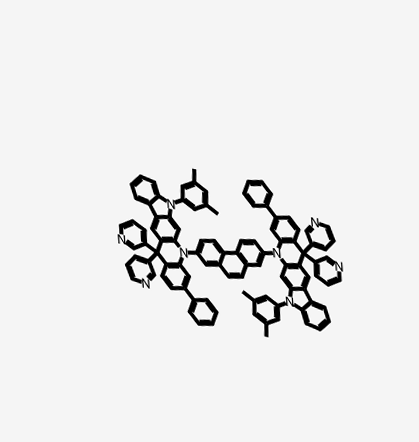 Cc1cc(C)cc(-n2c3ccccc3c3cc4c(cc32)N(c2ccc3c(ccc5cc(N6c7cc(-c8ccccc8)ccc7C(c7cccnc7)(c7cccnc7)c7cc8c9ccccc9n(-c9cc(C)cc(C)c9)c8cc76)ccc53)c2)c2cc(-c3ccccc3)ccc2C4(c2cccnc2)c2cccnc2)c1